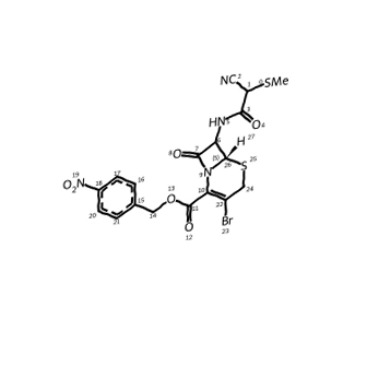 CSC(C#N)C(=O)NC1C(=O)N2C(C(=O)OCc3ccc([N+](=O)[O-])cc3)=C(Br)CS[C@@H]12